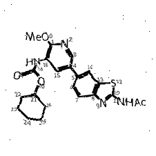 COc1ncc(-c2ccc3nc(NC(C)=O)sc3c2)cc1NC(=O)OC1CCCCC1